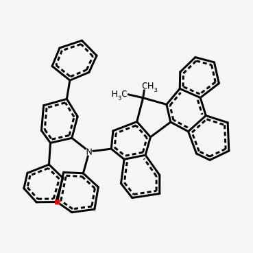 CC1(C)c2cc(N(c3ccccc3)c3cc(-c4ccccc4)ccc3-c3ccccc3)c3ccccc3c2-c2c1c1ccccc1c1ccccc21